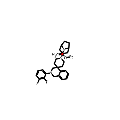 C=C(OCC)N1C2CCC1CC(N1CCC3(CC1)CN(c1cccc(F)c1F)Cc1ccccc13)C2